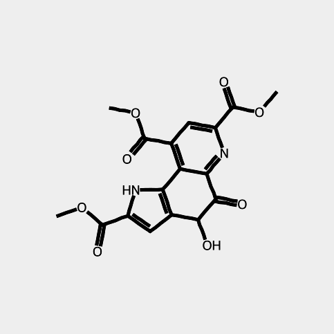 COC(=O)c1cc(C(=O)OC)c2c(n1)C(=O)C(O)c1cc(C(=O)OC)[nH]c1-2